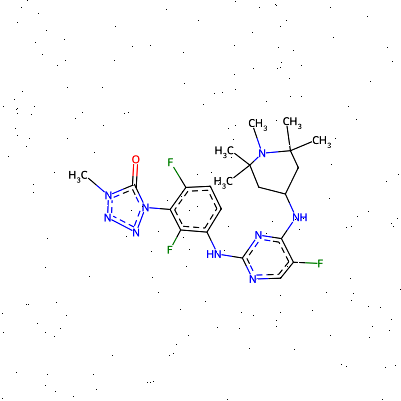 CN1C(C)(C)CC(Nc2nc(Nc3ccc(F)c(-n4nnn(C)c4=O)c3F)ncc2F)CC1(C)C